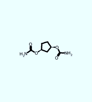 NC(=O)O[C@@H]1CC[C@H](OC(N)=O)C1